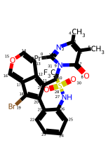 CCCc1nc(C)c(C)c(=O)n1Cc1c2ccocc-2c(Br)c1-c1ccccc1NS(=O)(=O)C(F)(F)F